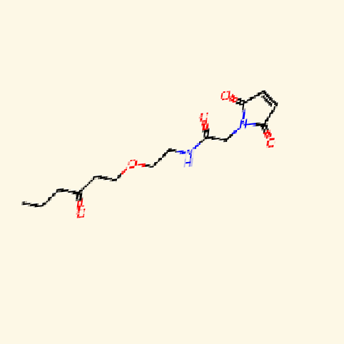 CCCC(=O)CCOCCNC(=O)CN1C(=O)C=CC1=O